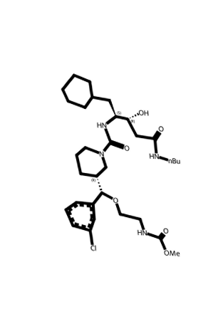 CCCCNC(=O)C[C@@H](O)[C@H](CC1CCCCC1)NC(=O)N1CCC[C@@H](C(OCCNC(=O)OC)c2cccc(Cl)c2)C1